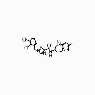 Cc1cc2n(n1)CC[C@H](NC(=O)c1ncn(Cc3cccc(Cl)c3Cl)n1)CN2C